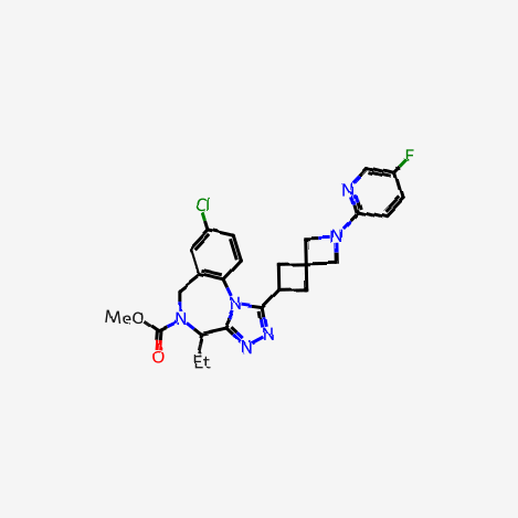 CCC1c2nnc(C3CC4(C3)CN(c3ccc(F)cn3)C4)n2-c2ccc(Cl)cc2CN1C(=O)OC